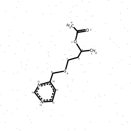 CC(=O)OC(C)CCSCc1ccncn1